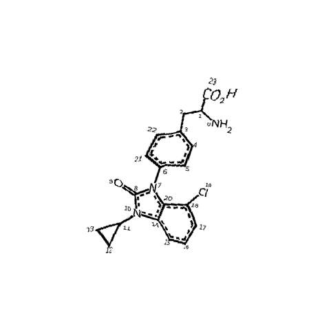 NC(Cc1ccc(-n2c(=O)n(C3CC3)c3cccc(Cl)c32)cc1)C(=O)O